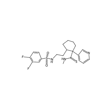 CNC(=S)C1(c2cccnc2)CCCCC1CCNS(=O)(=O)c1ccc(F)c(F)c1